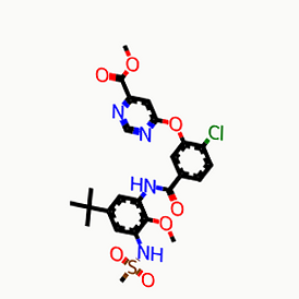 COC(=O)c1cc(Oc2cc(C(=O)Nc3cc(C(C)(C)C)cc(NS(C)(=O)=O)c3OC)ccc2Cl)ncn1